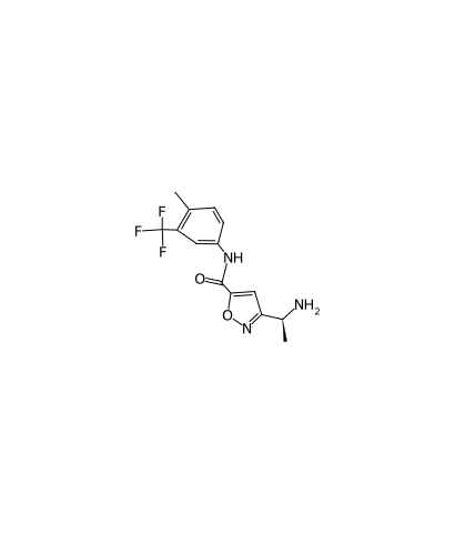 Cc1ccc(NC(=O)c2cc([C@H](C)N)no2)cc1C(F)(F)F